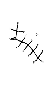 O=C(C(F)(F)F)C(F)(F)C(F)(F)C(F)(F)C(F)(F)F.[Cu]